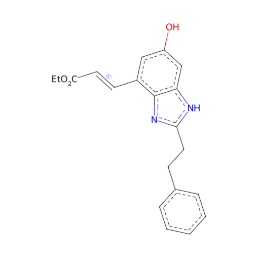 CCOC(=O)/C=C/c1cc(O)cc2[nH]c(CCc3ccccc3)nc12